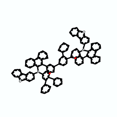 c1ccc(-c2ccc(N(c3ccc4oc5ccccc5c4c3)c3c(-c4cccc(-c5ccc(-c6ccc(N(c7ccc8oc9ccccc9c8c7)c7c(-c8ccccc8)c8ccccc8c8ccccc78)cc6)c(-c6ccccc6)c5)c4)c4ccccc4c4ccccc34)cc2-c2ccccc2)cc1